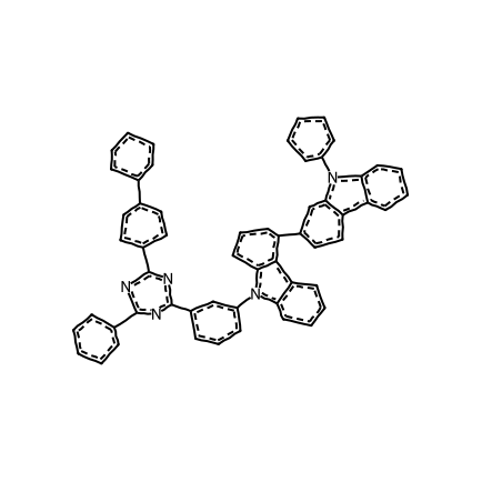 c1ccc(-c2ccc(-c3nc(-c4ccccc4)nc(-c4cccc(-n5c6ccccc6c6c(-c7ccc8c9ccccc9n(-c9ccccc9)c8c7)cccc65)c4)n3)cc2)cc1